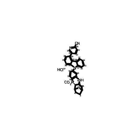 CN1C2CCC1CC(Nc1cc(-n3c4ccccc4c4c(-c5ccc(C#N)nc5)cccc43)ccc1C(=O)O)C2.Cl